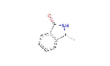 C[C@H]1NC(=O)c2ccccc21